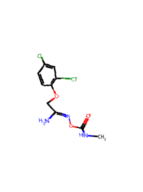 CNC(=O)ON=C(N)COc1ccc(Cl)cc1Cl